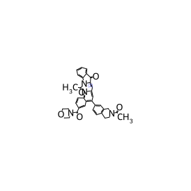 CC(=O)N1CCc2ccc(-c3cc(/C=C4/C(=O)c5ccccc5N4C(C)=O)nc4ccc(C(=O)N5CCOCC5)cc34)cc2C1